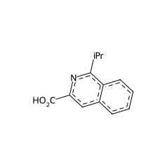 CC(C)c1nc(C(=O)O)cc2ccccc12